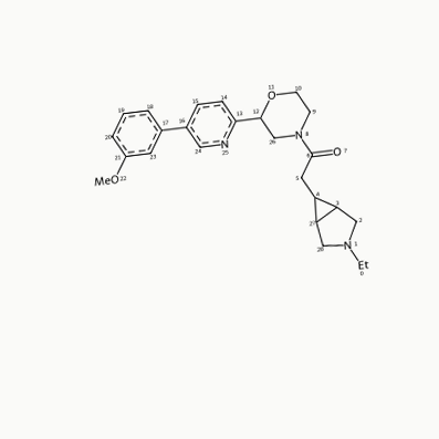 CCN1CC2C(CC(=O)N3CCOC(c4ccc(-c5cccc(OC)c5)cn4)C3)C2C1